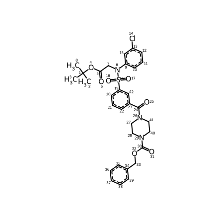 CC(C)(C)OC(=O)CN(c1cccc(Cl)c1)S(=O)(=O)c1cccc(C(=O)N2CCN(C(=O)OCc3ccccc3)CC2)c1